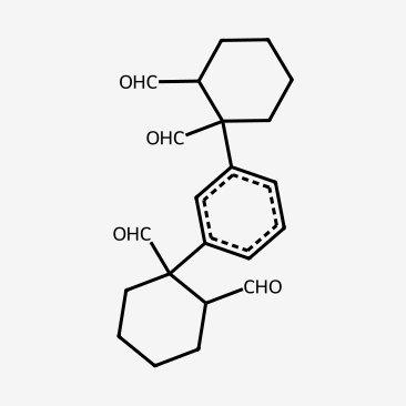 O=CC1CCCCC1(C=O)c1cccc(C2(C=O)CCCCC2C=O)c1